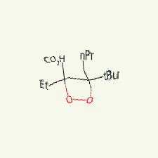 CCCC1(C(C)(C)C)OOC1(CC)C(=O)O